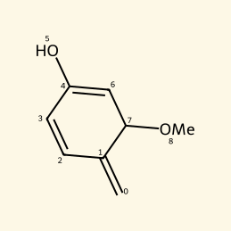 C=C1C=CC(O)=CC1OC